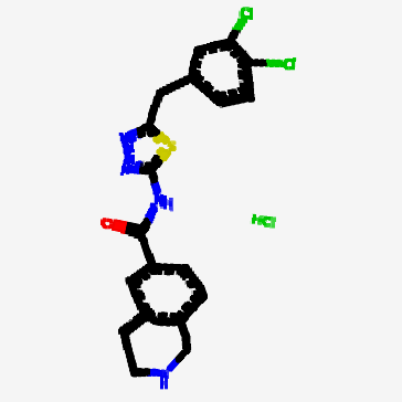 Cl.O=C(Nc1nnc(Cc2ccc(Cl)c(Cl)c2)s1)c1ccc2c(c1)CCNC2